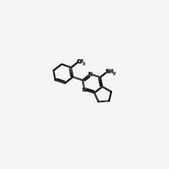 Nc1nc(C2=C(C(F)(F)F)CCC=C2)nc2c1CCC2